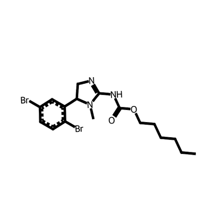 CCCCCCOC(=O)NC1=NCC(c2cc(Br)ccc2Br)N1C